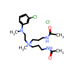 CC(=O)NCCC[N+](C)(CCCNC(C)=O)CCN(C)c1cccc(Cl)c1.[Cl-]